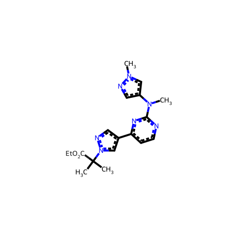 CCOC(=O)C(C)(C)n1cc(-c2ccnc(N(C)c3cnn(C)c3)n2)cn1